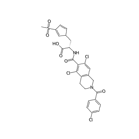 CS(=O)(=O)C1=CC(C[C@H](NC(=O)c2c(Cl)cc3c(c2Cl)CCN(C(=O)c2ccc(Cl)cc2)C3)C(=O)O)C=C1